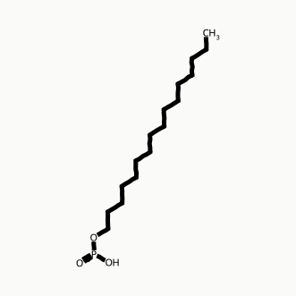 CCCCCCCCCCCCCCCCO[P](=O)O